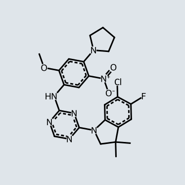 COc1cc(N2CCCC2)c([N+](=O)[O-])cc1Nc1ncnc(N2CC(C)(C)c3cc(F)c(Cl)cc32)n1